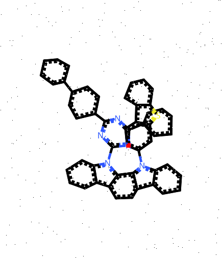 c1ccc(-c2ccc(-c3nc(-c4ccccc4)nc(-n4c5ccccc5c5ccc6c7ccccc7n(-c7ccc8c(c7)sc7ccccc78)c6c54)n3)cc2)cc1